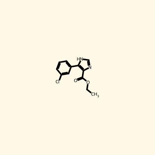 CCOC(=O)c1nc[nH]c1-c1cccc(Cl)c1